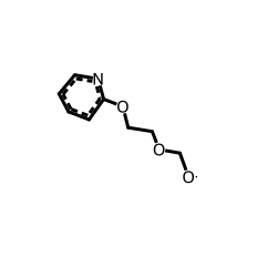 [O]COCCOc1ccccn1